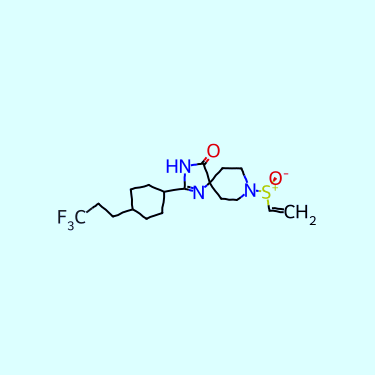 C=C[S@+]([O-])N1CCC2(CC1)N=C(C1CCC(CCC(F)(F)F)CC1)NC2=O